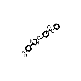 C[S+]([O-])c1ccc(-c2cnc(OCC3CCN(C(=O)Oc4ccccc4)CC3)cn2)cc1